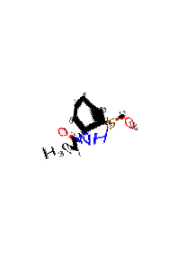 CCC(=O)Nc1ccccc1SC=O